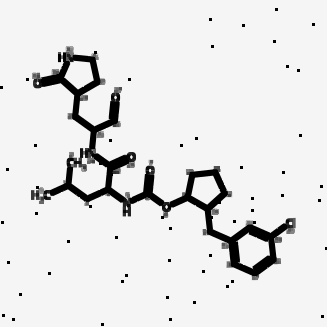 CC(C)CC(NC(=O)OC1CCCC1Cc1cccc(Cl)c1)C(=O)NC(C=O)CC1CCNC1=O